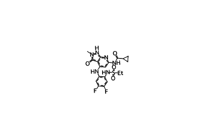 CCS(=O)(=O)Nc1cc(F)c(F)cc1Nc1cc(NC(=O)C2CC2)nc2[nH]n(C)c(=O)c12